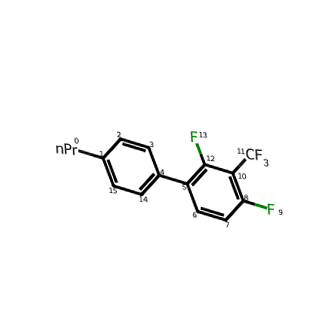 CCCc1ccc(-c2ccc(F)c(C(F)(F)F)c2F)cc1